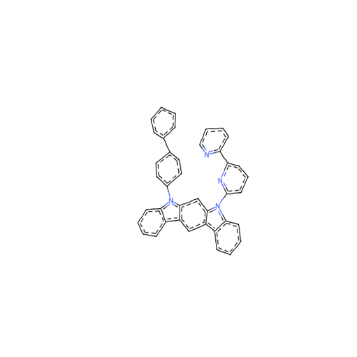 c1ccc(-c2ccc(-n3c4ccccc4c4cc5c6ccccc6n(-c6cccc(-c7ccccn7)n6)c5cc43)cc2)cc1